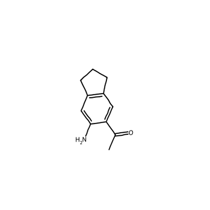 CC(=O)c1cc2c(cc1N)CCC2